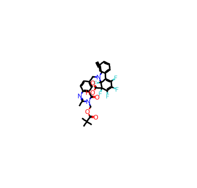 C#CCN(Cc1ccc2nc(C)n(COC(=O)C(C)(C)C)c(=O)c2c1)C1(F)C(c2ccccc2)=C(F)C(F)=C(F)C1(F)C(=O)O